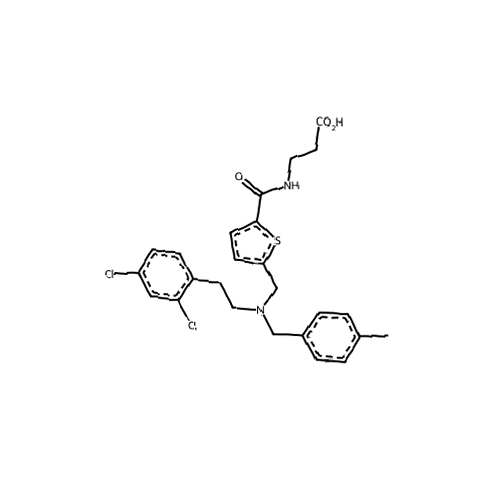 Cc1ccc(CN(CCc2ccc(Cl)cc2Cl)Cc2ccc(C(=O)NCCC(=O)O)s2)cc1